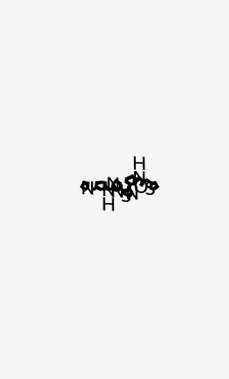 O=C(Cc1cccs1)Nc1cccc(-c2ncsc2-c2ccnc(Nc3cccc(CN4CCCC4)c3)n2)c1